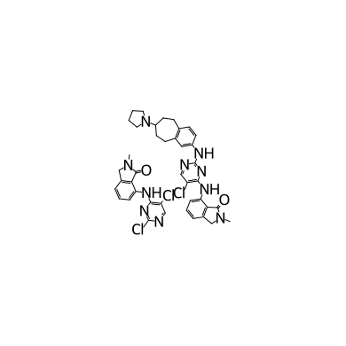 CN1Cc2cccc(Nc3nc(Cl)ncc3Cl)c2C1=O.CN1Cc2cccc(Nc3nc(Nc4ccc5c(c4)CCC(N4CCCC4)CC5)ncc3Cl)c2C1=O